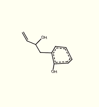 C=CC(O)Cc1ccccc1O